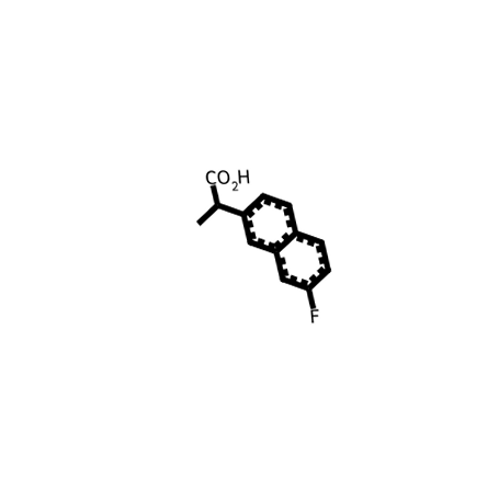 CC(C(=O)O)c1ccc2ccc(F)cc2c1